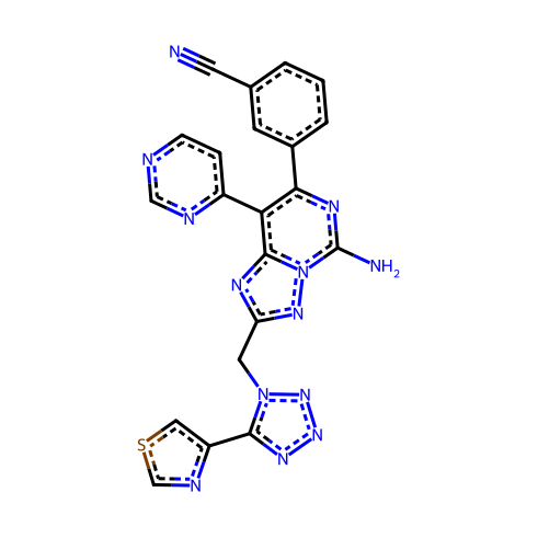 N#Cc1cccc(-c2nc(N)n3nc(Cn4nnnc4-c4cscn4)nc3c2-c2ccncn2)c1